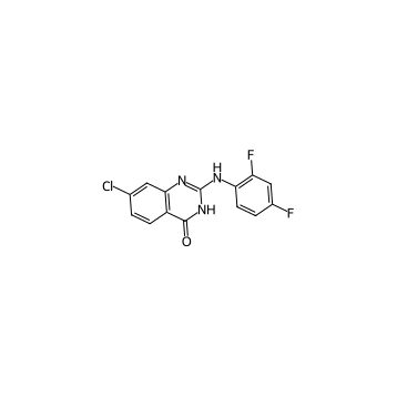 O=c1[nH]c(Nc2ccc(F)cc2F)nc2cc(Cl)ccc12